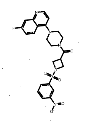 O=C(C1CN(S(=O)(=O)c2cccc([N+](=O)[O-])c2)C1)N1CCN(c2ccnc3cc(F)ccc23)CC1